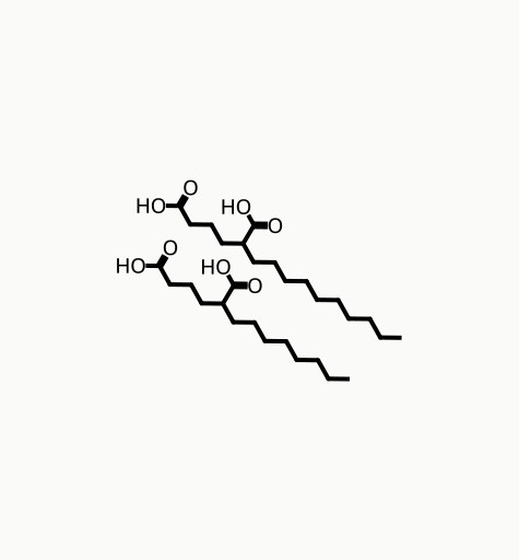 CCCCCCCCC(CCCC(=O)O)C(=O)O.CCCCCCCCCCC(CCCC(=O)O)C(=O)O